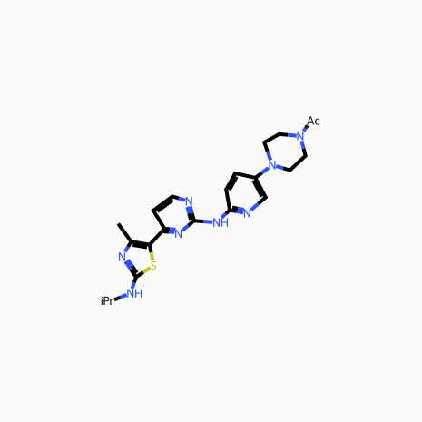 CC(=O)N1CCN(c2ccc(Nc3nccc(-c4sc(NC(C)C)nc4C)n3)nc2)CC1